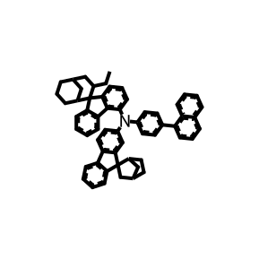 CCC1CC2CCCC(C2)C12c1ccccc1-c1c(N(c3ccc(-c4cccc5ccccc45)cc3)c3ccc4c(c3)C3(CC5CCC3C5)c3ccccc3-4)cccc12